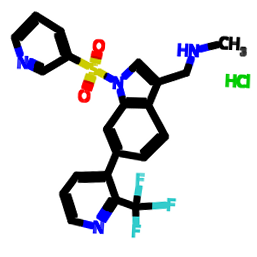 CNCc1cn(S(=O)(=O)c2cccnc2)c2cc(-c3cccnc3C(F)(F)F)ccc12.Cl